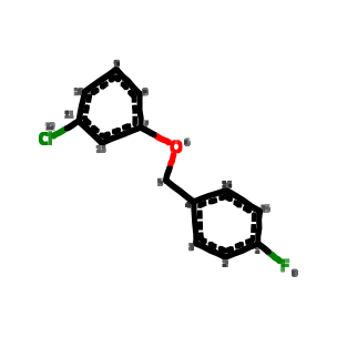 Fc1ccc(COc2cc[c]c(Cl)c2)cc1